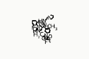 Cc1ccc(N(C(=O)C(F)(F)F)C(C)C)cc1-c1nc(NCCN2CCCC2)nc2c1CNC(=O)N2c1c(F)cccc1F